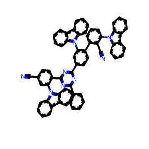 N#Cc1ccc(-c2nc(-c3ccccc3)nc(-c3ccc(-c4cccc(-n5c6ccccc6c6ccccc65)c4C#N)c(-n4c5ccccc5c5ccccc54)c3)n2)c(-n2c3ccccc3c3ccccc32)c1